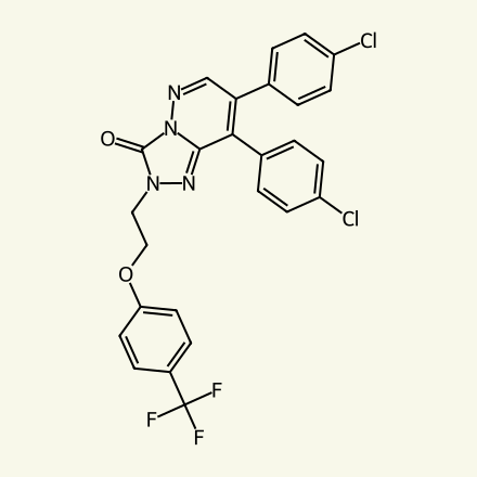 O=c1n(CCOc2ccc(C(F)(F)F)cc2)nc2c(-c3ccc(Cl)cc3)c(-c3ccc(Cl)cc3)cnn12